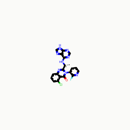 C[C@@H](Nc1ncnc2[nH]cnc12)c1nc2cccc(Cl)c2c(=O)n1-c1cccnc1F